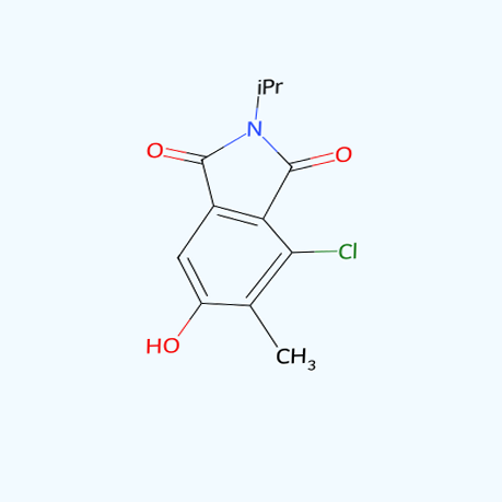 Cc1c(O)cc2c(c1Cl)C(=O)N(C(C)C)C2=O